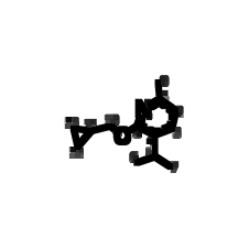 Cc1ccc(C(C)C)c(OCC2CC2)n1